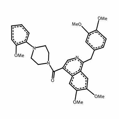 COc1ccc(Cc2ncc(C(=O)N3CCN(c4ccccc4OC)CC3)c3cc(OC)c(OC)cc23)cc1OC